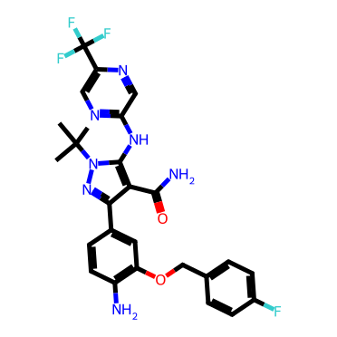 CC(C)(C)n1nc(-c2ccc(N)c(OCc3ccc(F)cc3)c2)c(C(N)=O)c1Nc1cnc(C(F)(F)F)cn1